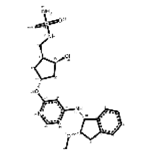 CO[C@H]1Cc2ccccc2[C@H]1Nc1cc(O[C@@H]2C[C@@H](CNS(N)(=O)=O)[C@@H](O)C2)ncn1